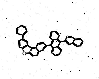 c1ccc(-c2ccc3oc4ccc5cc(-c6c7ccccc7c(-c7ccc8ccccc8c7)c7ccccc67)ccc5c4c3c2)cc1